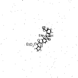 CCOC(=O)C(C(=O)Nc1ccc(S(=O)(=O)Nc2cccc(OC(F)(F)F)c2)c(OCC)c1)C1CCCC1